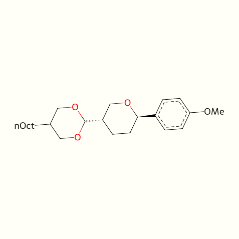 CCCCCCCCC1COC([C@H]2CC[C@H](c3ccc(OC)cc3)OC2)OC1